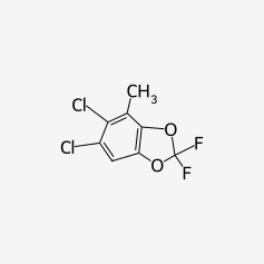 Cc1c(Cl)c(Cl)cc2c1OC(F)(F)O2